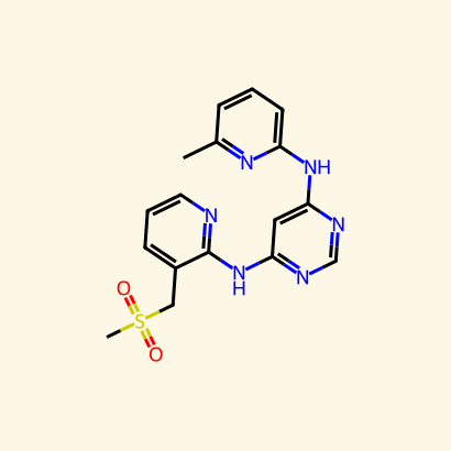 Cc1cccc(Nc2cc(Nc3ncccc3CS(C)(=O)=O)ncn2)n1